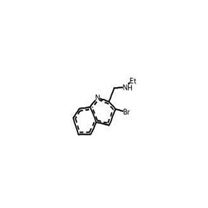 CCNCc1nc2ccccc2cc1Br